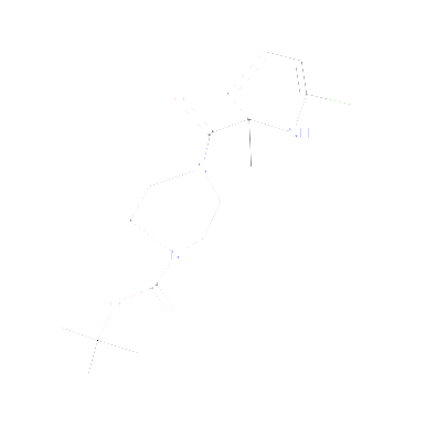 CC(C)(C)OC(=O)N1CCN(C(=O)C2(C)C=CC=C(Cl)N2)CC1